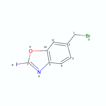 BrCc1ccc2nc(I)oc2c1